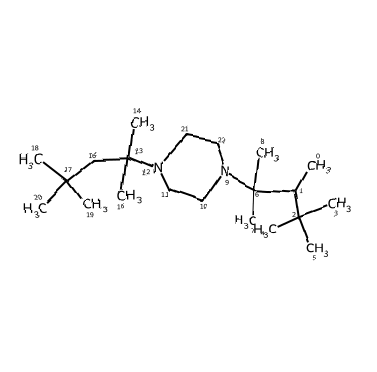 CC(C(C)(C)C)C(C)(C)N1CCN(C(C)(C)CC(C)(C)C)CC1